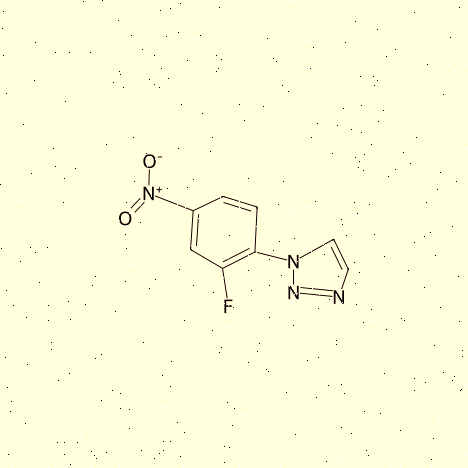 O=[N+]([O-])c1ccc(-n2ccnn2)c(F)c1